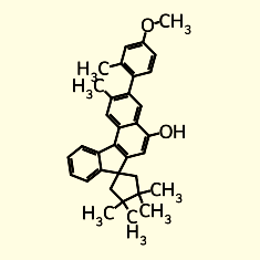 COc1ccc(-c2cc3c(O)cc4c(c3cc2C)-c2ccccc2C42CC(C)(C)C(C)(C)C2)c(C)c1